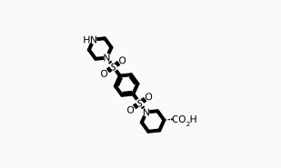 O=C(O)[C@@H]1CCCN(S(=O)(=O)c2ccc(S(=O)(=O)N3CCNCC3)cc2)C1